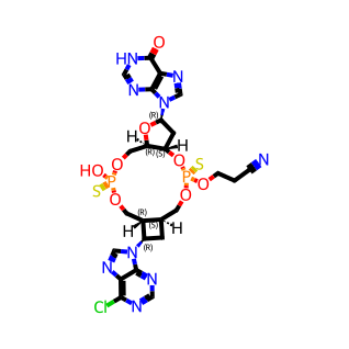 N#CCCOP1(=S)OC[C@H]2C[C@@H](n3cnc4c(Cl)ncnc43)[C@@H]2COP(O)(=S)OC[C@H]2O[C@@H](n3cnc4c(=O)[nH]cnc43)C[C@@H]2O1